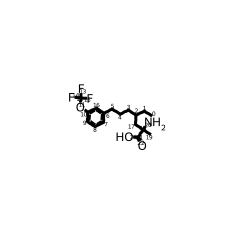 CCC(CCCc1cccc(OC(F)(F)F)c1)CC(C)(N)C(=O)O